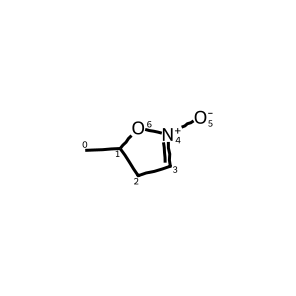 CC1CC=[N+]([O-])O1